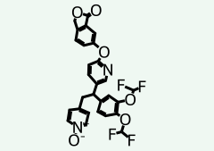 O=C1OCc2ccc(Oc3ccc(C(Cc4cc[n+]([O-])cc4)c4ccc(OC(F)F)c(OC(F)F)c4)cn3)cc21